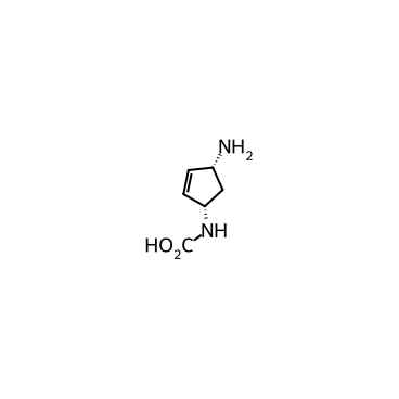 N[C@H]1C=C[C@@H](NC(=O)O)C1